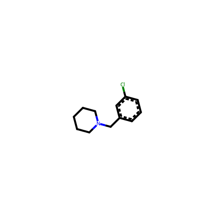 Clc1cccc(CN2CCCCC2)c1